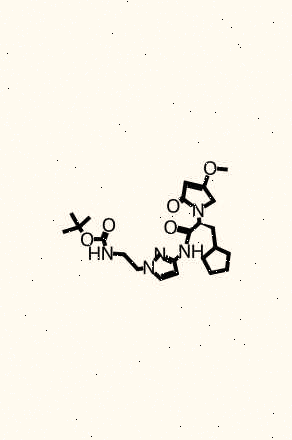 COC1=CC(=O)N([C@@H](CC2CCCC2)C(=O)Nc2ccn(CCNC(=O)OC(C)(C)C)n2)C1